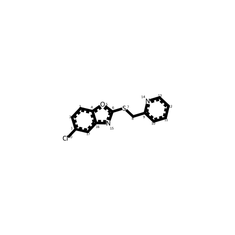 Clc1ccc2oc(SCc3ccccn3)nc2c1